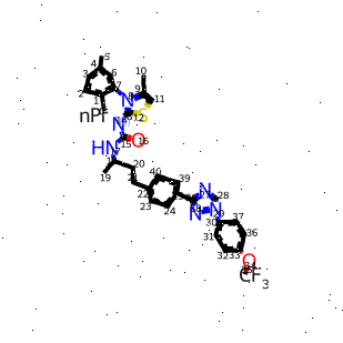 CCCc1ccc(C)cc1-n1c(C)cs/c1=N\C(=O)NC(C)CCc1ccc(-c2ncn(-c3ccc(OC(F)(F)F)cc3)n2)cc1